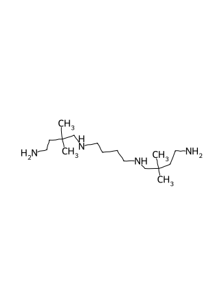 CC(C)(CCN)CNCCCCNCC(C)(C)CCN